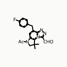 CC(=O)N1CC(C)(C)c2c1cc(Cc1ccc(F)cc1)c1nnc(C=O)n21